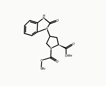 COC(=O)[C@@H]1CC(n2c(=O)[nH]c3ccccc32)CN1C(=O)OC(C)(C)C